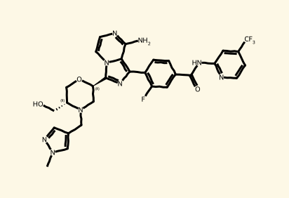 Cn1cc(CN2C[C@H](c3nc(-c4ccc(C(=O)Nc5cc(C(F)(F)F)ccn5)cc4F)c4c(N)nccn34)OC[C@H]2CO)cn1